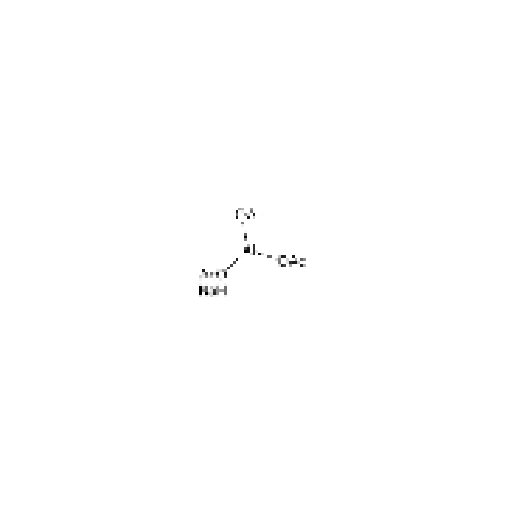 CC(=O)[O][Al]([O]C(C)=O)[O]C(C)=O.[NaH]